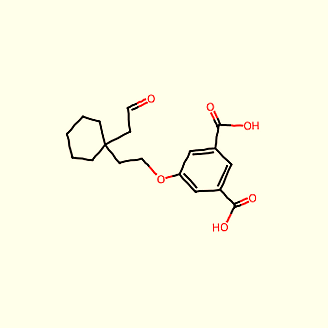 O=CCC1(CCOc2cc(C(=O)O)cc(C(=O)O)c2)CCCCC1